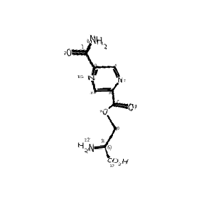 NC(=O)c1cnc(C(=O)OC[C@H](N)C(=O)O)cn1